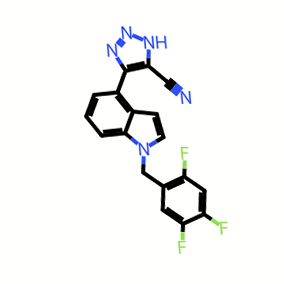 N#Cc1[nH]nnc1-c1cccc2c1ccn2Cc1cc(F)c(F)cc1F